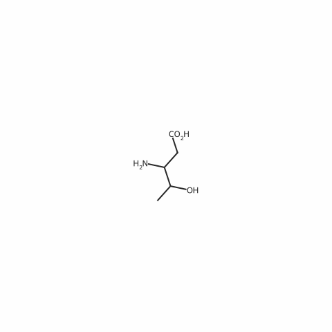 CC(O)C(N)CC(=O)O